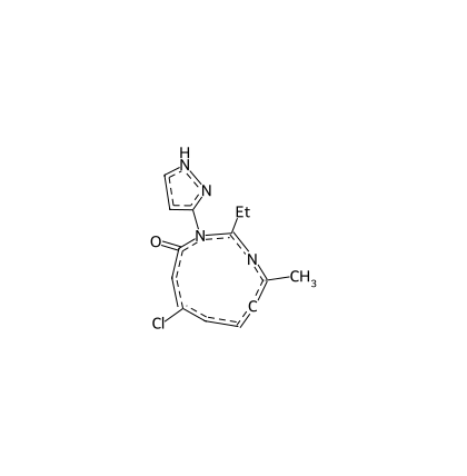 CCc1nc(C)cccc(Cl)cc(=O)n1-c1cc[nH]n1